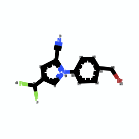 N#Cc1cc(C(F)F)cn1-c1ccc(CBr)cc1